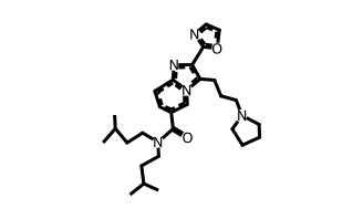 CC(C)CCN(CCC(C)C)C(=O)c1ccc2nc(-c3ncco3)c(CCCN3CCCC3)n2c1